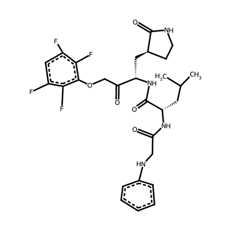 CC(C)C[C@H](NC(=O)CNc1ccccc1)C(=O)N[C@@H](C[C@@H]1CCNC1=O)C(=O)COc1c(F)c(F)cc(F)c1F